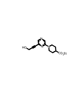 CCOC(=O)C1CCN(c2cncc(C#CCO)n2)CC1